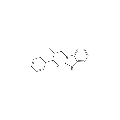 CC(Cc1c[nH]c2ccccc12)C(=O)c1ccccc1